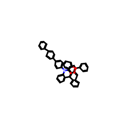 c1ccc(-c2ccc(-c3ccc(N(c4ccc(-c5ccccc5)cc4)c4ccccc4-c4c5ccccc5cc5oc6ccccc6c45)cc3)cc2)cc1